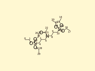 CCO[Si](CCCN(CCC[Si](OCC)(OCC)OCC)C(C)=O)(OCC)OCC